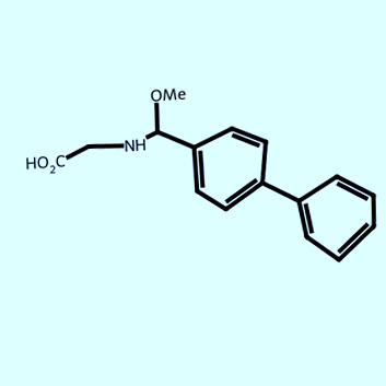 COC(NCC(=O)O)c1ccc(-c2ccccc2)cc1